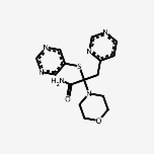 NC(=O)C(Cc1ccncn1)(Sc1cncnc1)N1CCOCC1